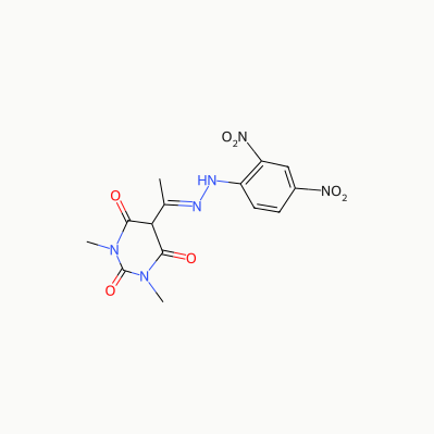 C/C(=N\Nc1ccc([N+](=O)[O-])cc1[N+](=O)[O-])C1C(=O)N(C)C(=O)N(C)C1=O